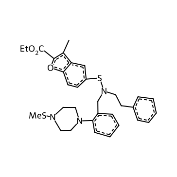 CCOC(=O)c1oc2ccc(SN(CCc3ccccc3)Cc3ccccc3N3CCN(SC)CC3)cc2c1C